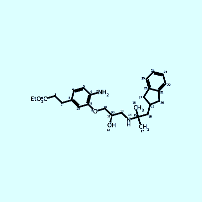 CCOC(=O)CCc1ccc(N)c(OC[C@H](O)CNC(C)(C)CC2Cc3ccccc3C2)c1